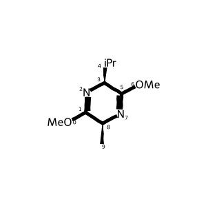 COC1=N[C@@H](C(C)C)C(OC)=N[C@H]1C